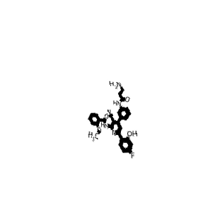 COc1ccccc1C(=O)Nc1nc(-c2ccc(F)cc2O)cc(-c2cccc(NC(=O)CCN)c2)c1C#N